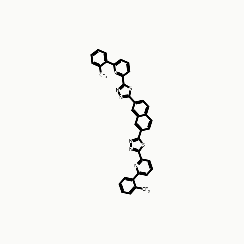 FC(F)(F)c1ccccc1-c1cccc(-c2nnc(-c3ccc4ccc(-c5nnc(-c6cccc(-c7ccccc7C(F)(F)F)n6)s5)cc4c3)s2)n1